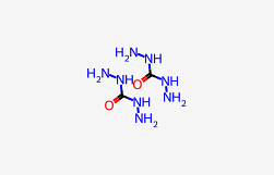 NNC(=O)NN.NNC(=O)NN